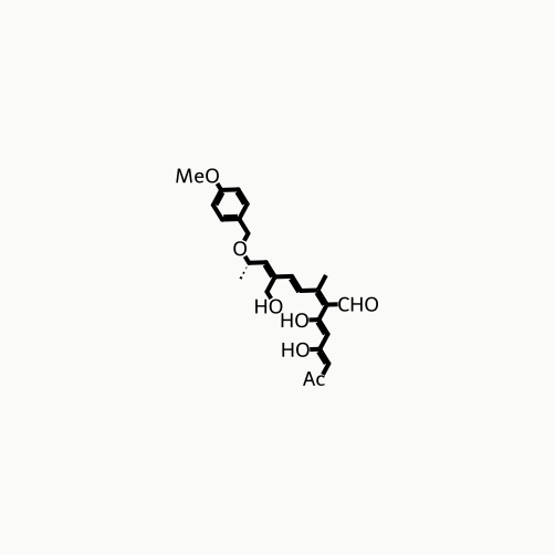 COc1ccc(CO[C@@H](C)/C=C(/C=C/C(C)=C(C=O)\C(O)=C\C(O)=C\C(C)=O)CO)cc1